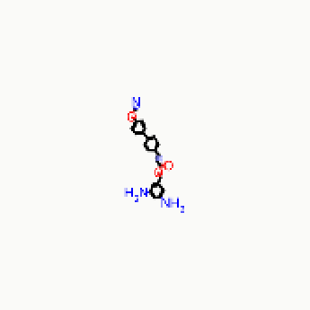 N#COc1ccc(-c2ccc(/C=C/C(=O)OCc3cc(N)cc(N)c3)cc2)cc1